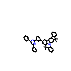 CC1(C)c2ccccc2-c2cc3c4cc(-c5cccc(-c6nc(-c7ccccc7)cc(-c7ccccc7)n6)c5)cc5c4n(c3cc21)-c1ccccc1C5(C)C